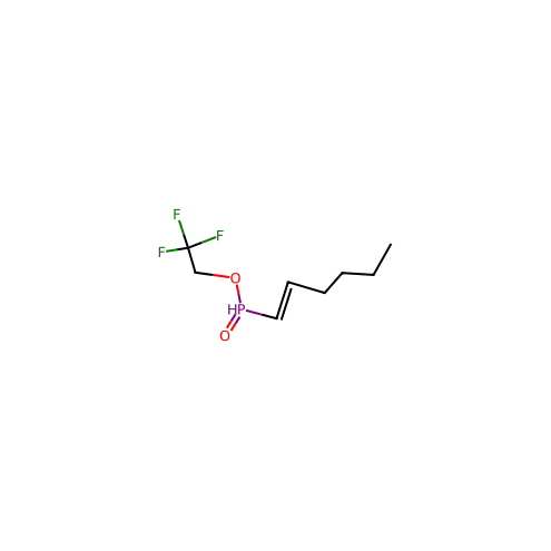 CCCCC=C[PH](=O)OCC(F)(F)F